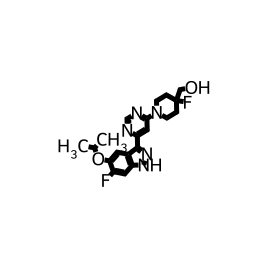 CC(C)Oc1cc2c(-c3cc(N4CCC(F)(CO)CC4)ncn3)n[nH]c2cc1F